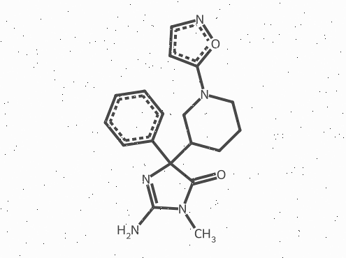 CN1C(=O)C(c2ccccc2)(C2CCCN(c3ccno3)C2)N=C1N